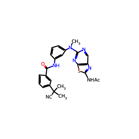 CC(=O)Nc1nc2cnc(N(C)c3cccc(NC(=O)c4cccc(C(C)(C)C#N)c4)c3)nc2s1